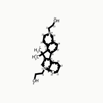 CC1(C)c2c[n+](CCO)c3ccccc3c2-c2ccc3c[n+](CCO)ccc3c21